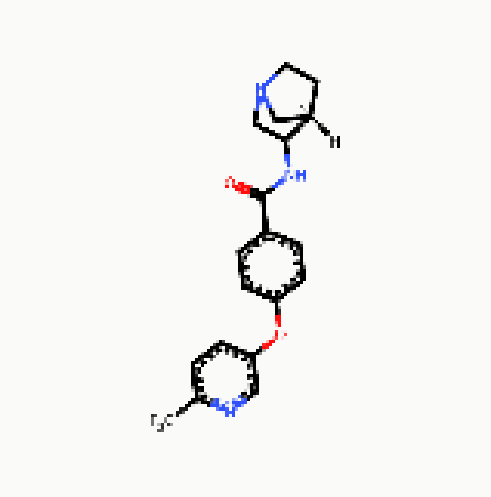 O=C(NC1CN2CC[C@H]1C2)c1ccc(Oc2ccc(C(F)(F)F)nc2)cc1